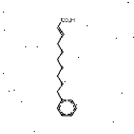 O=C(O)C=CCCCCCCCc1ccccc1